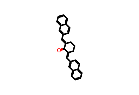 O=C1/C(=C/c2ccc3ccccc3c2)CCC/C1=C\c1ccc2ccccc2c1